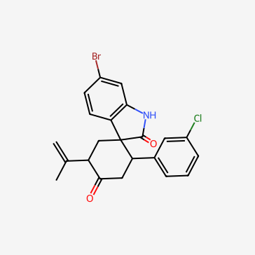 C=C(C)C1CC2(C(=O)Nc3cc(Br)ccc32)C(c2cccc(Cl)c2)CC1=O